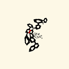 CC1(C)c2cc(-c3cccc4ccccc34)ccc2-c2ccc(N(c3cccc(-c4cccc5c4sc4ccccc45)c3)c3ccccc3-c3ccc(-c4ccccc4)cc3)cc21